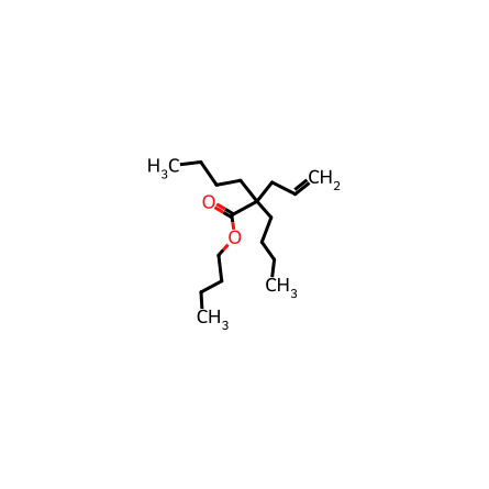 C=CCC(CCCC)(CCCC)C(=O)OCCCC